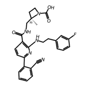 C[C@]1(CNC(=O)c2ccc(-c3ccccc3C#N)nc2NCCc2cccc(F)c2)CCN1C(=O)O